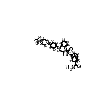 CS(=O)(=O)N1CCN(c2ccc(N3CCN(C(=O)NC4C5CC6CC4CC(C(N)=O)(C6)C5)c4ccccc43)cc2)CC1